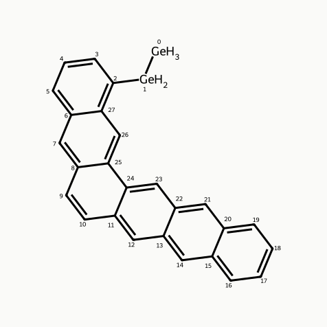 [GeH3][GeH2][c]1cccc2cc3ccc4cc5cc6ccccc6cc5cc4c3cc12